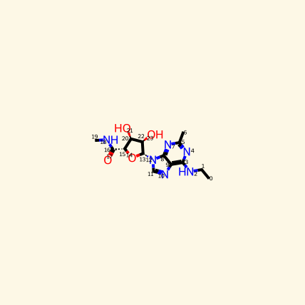 CCNc1nc(C)nc2c1ncn2[C@@H]1O[C@H](C(=O)NC)[C@@H](O)[C@H]1O